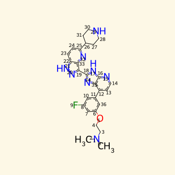 CN(C)CCOc1cc(F)cc(-c2ccnc3[nH]c(-c4n[nH]c5ccc(C6CCNCC6)nc45)nc23)c1